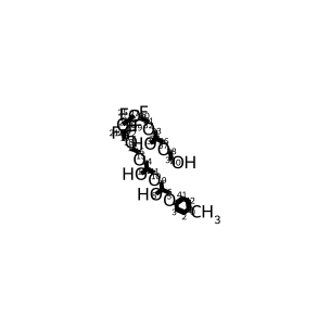 Cc1ccc(OCC(O)COCC(O)COCCOCC(F)(F)OC(F)(F)OC(F)(F)COCC(O)COCCO)cc1